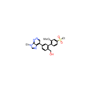 CCn1cnc2c(-c3ccc(CO)c(-c4ccc(S(=O)(=O)CC)cc4OC)c3)cnnc21